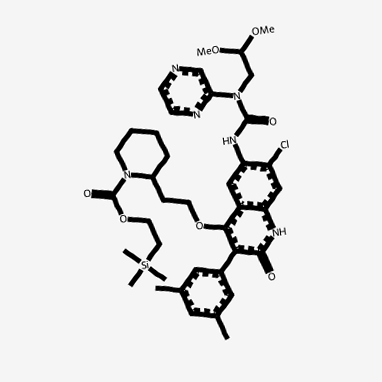 COC(CN(C(=O)Nc1cc2c(OCCC3CCCCN3C(=O)OCC[Si](C)(C)C)c(-c3cc(C)cc(C)c3)c(=O)[nH]c2cc1Cl)c1cnccn1)OC